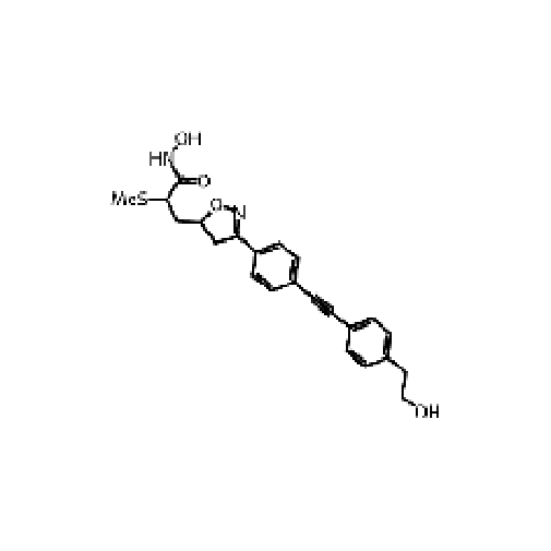 CSC(CC1CC(c2ccc(C#Cc3ccc(CCO)cc3)cc2)=NO1)C(=O)NO